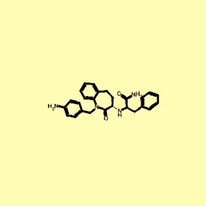 NC(=O)C(Cc1ccccc1)N[C@H]1CCc2ccccc2N(Cc2ccc(N)cc2)C1=O